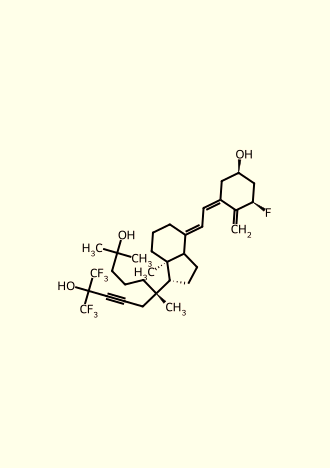 C=C1/C(=C\C=C2CCC[C@@]3(C)C2CC[C@@H]3[C@](C)(CC#CC(O)(C(F)(F)F)C(F)(F)F)CCCC(C)(C)O)C[C@@H](O)C[C@H]1F